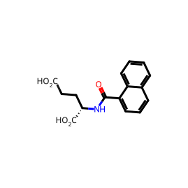 O=C(O)CC[C@H](NC(=O)c1cccc2ccccc12)C(=O)O